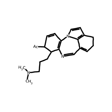 CC(=O)C1C=CC2=C(N=CC3=CCCc4ccn2c43)C1CCCN(C)C